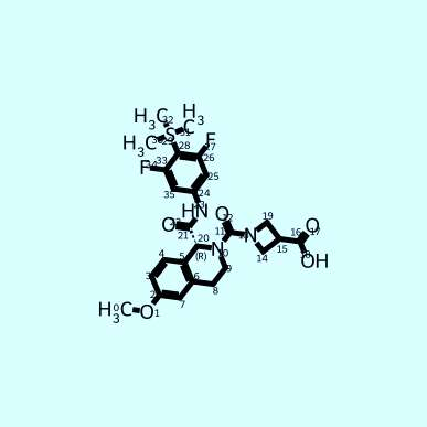 COc1ccc2c(c1)CCN(C(=O)N1CC(C(=O)O)C1)[C@H]2C(=O)Nc1cc(F)c(S(C)(C)C)c(F)c1